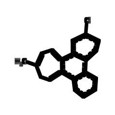 CC1=CC=c2c(c3ccccc3c3ccc(Cl)cc23)=CC1